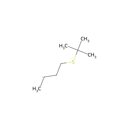 C[CH]CCSC(C)(C)C